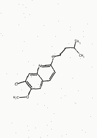 COc1cc2ccc(NCCC(C)C)nc2cc1Cl